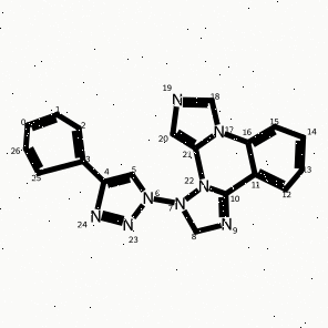 c1ccc(-c2cn(N3CN=C4c5ccccc5-n5cncc5N43)nn2)cc1